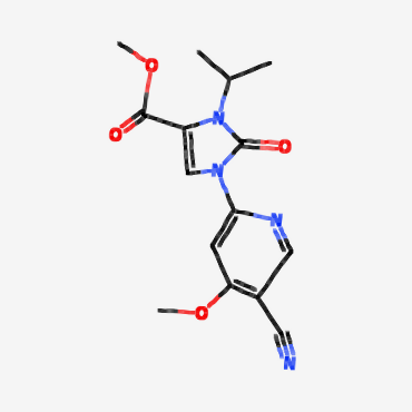 COC(=O)c1cn(-c2cc(OC)c(C#N)cn2)c(=O)n1C(C)C